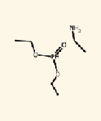 CCN.CCO[PH](=O)OCC